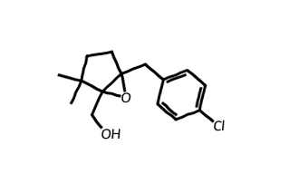 CC1(C)CCC2(Cc3ccc(Cl)cc3)OC12CO